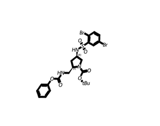 CC(C)(C)OC(=O)N1C[C@H](NS(=O)(=O)c2cc(Br)ccc2Br)C[C@@H]1CNC(=O)Oc1ccccc1